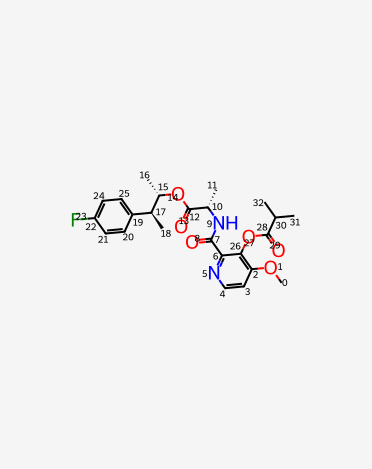 COc1ccnc(C(=O)N[C@@H](C)C(=O)O[C@@H](C)[C@@H](C)c2ccc(F)cc2)c1OC(=O)C(C)C